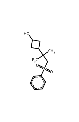 CC(CS(=O)(=O)c1ccccc1)(C1CC(O)C1)C(F)(F)F